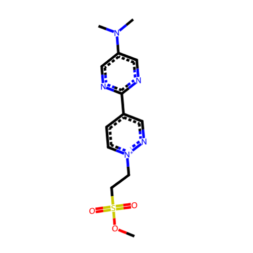 COS(=O)(=O)CC[n+]1ccc(-c2ncc(N(C)C)cn2)cn1